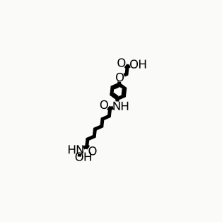 O=C(O)COc1ccc(NC(=O)CCCCCCC(=O)NO)cc1